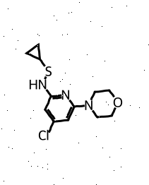 Clc1cc(NSC2CC2)nc(N2CCOCC2)c1